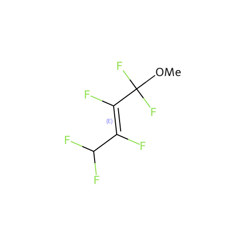 COC(F)(F)/C(F)=C(\F)C(F)F